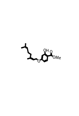 COC(=O)c1ccc(OCC=C(C)CCC=C(C)C)cc1O